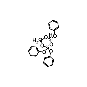 c1ccc(O[SiH]2O[SiH2]O[Si](Oc3ccccc3)(Oc3ccccc3)O2)cc1